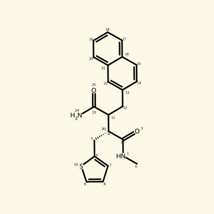 CNC(=O)[C@H](Cc1cccs1)C(Cc1ccc2ccccc2c1)C(N)=O